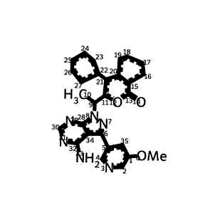 COc1cncc(-c2nn(C(C)c3oc(=O)c4ccccc4c3-c3ccccc3)c3ncnc(N)c23)c1